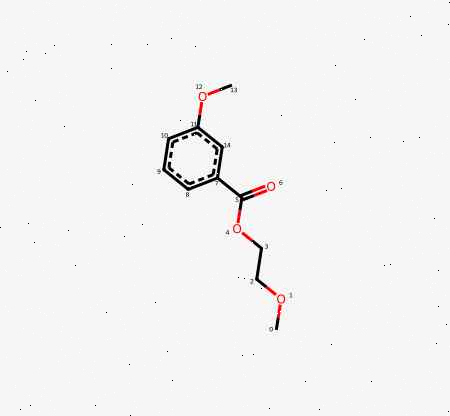 COCCOC(=O)c1cccc(OC)c1